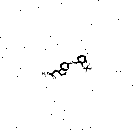 CC(=O)CC1CCc2cc(OCc3cccc4c3OC(F)(F)O4)ccc21